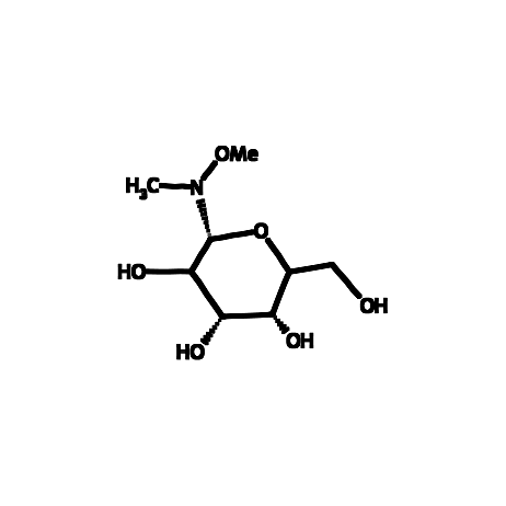 CON(C)[C@@H]1OC(CO)[C@H](O)[C@H](O)C1O